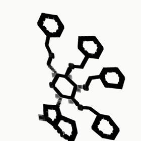 c1ccc(COC[C@H]2O[C@@H](c3c[nH]c4ccccc34)[C@H](OCc3ccccc3)[C@@H](OCc3ccccc3)[C@@H]2OCc2ccccc2)cc1